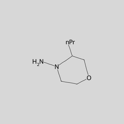 CCCC1COCCN1N